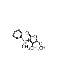 COc1oc(=O)n([C@H](C)c2ccccc2)c1C